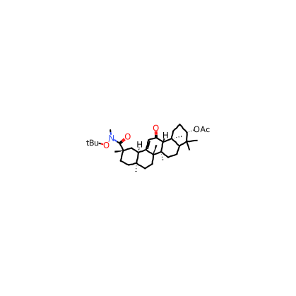 CC(=O)O[C@H]1CC[C@@]2(C)C(CC[C@]3(C)[C@@H]2C(=O)C=C2[C@@H]4C[C@@](C)(C(=O)N(C)OC(C)(C)C)CC[C@]4(C)CC[C@]23C)C1(C)C